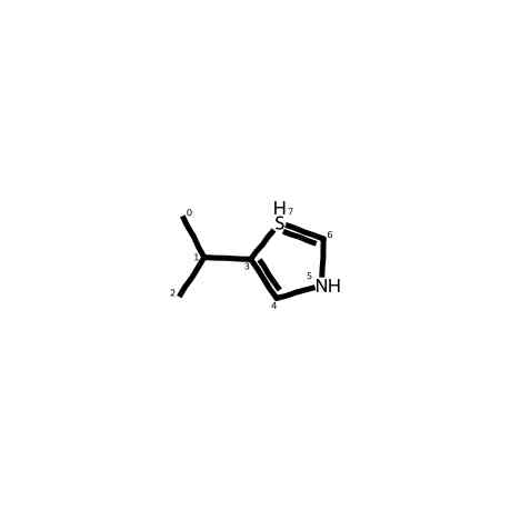 CC(C)C1=CNC=[SH]1